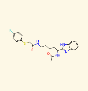 CC(=O)NC(CCCCNC(=O)CSc1ccc(F)cc1)c1nc2ccccc2[nH]1